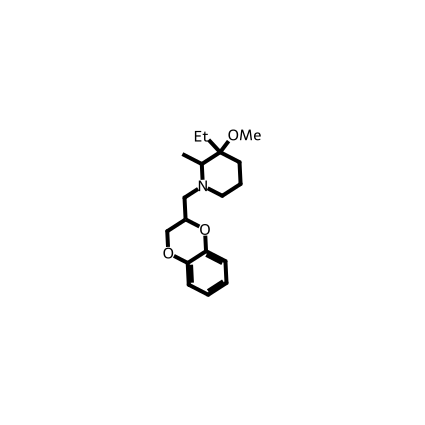 CCC1(OC)CCCN(CC2COc3ccccc3O2)C1C